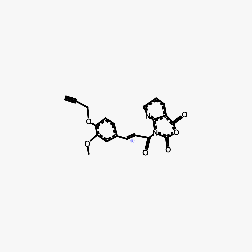 C#CCOc1ccc(/C=C/C(=O)n2c(=O)oc(=O)c3cccnc32)cc1OC